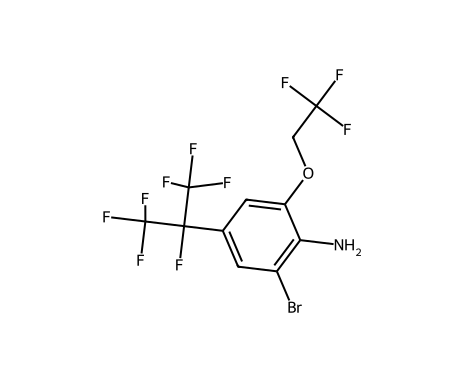 Nc1c(Br)cc(C(F)(C(F)(F)F)C(F)(F)F)cc1OCC(F)(F)F